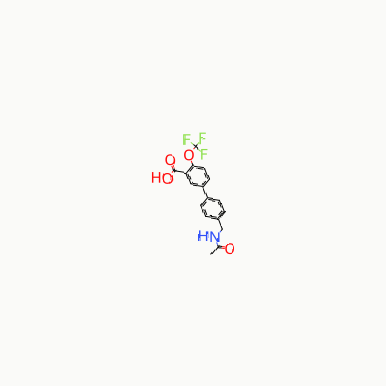 CC(=O)NCc1ccc(-c2ccc(OC(F)(F)F)c(C(=O)O)c2)cc1